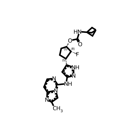 Cc1cn2c(Nc3cc([C@@H]4CC[C@H](OC(=O)NC56CC(C5)C6)[C@@H]4F)[nH]n3)nccc2n1